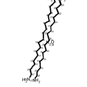 CCCCCCCCCCCCCCCCCCN.CCCCCCCCCCCCCCCCCCN.O